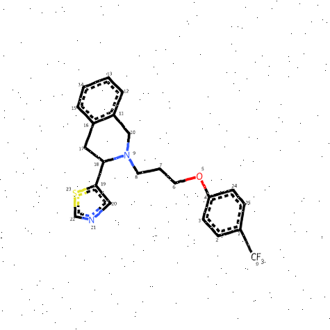 FC(F)(F)c1ccc(OCCCN2Cc3ccccc3CC2c2cncs2)cc1